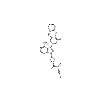 CC#CC(=O)N(C)C1CC(n2nc(-c3cc(F)c(Oc4ncccn4)c(F)c3)c3c(N)nccc32)C1